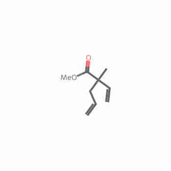 C=CCC(C)(C=C)C(=O)OC